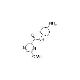 COc1cncc(C(=O)NC2CCC(N)CC2)n1